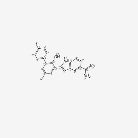 Cc1ccc(-c2cc(C)cc(-c3cc4cc(C(=N)N)ccc4[nH]3)c2O)cc1